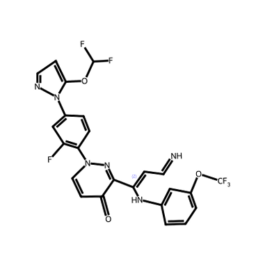 N=C/C=C(\Nc1cccc(OC(F)(F)F)c1)c1nn(-c2ccc(-n3nccc3OC(F)F)cc2F)ccc1=O